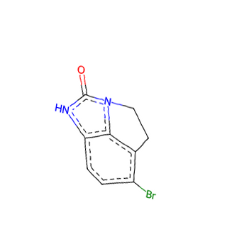 O=c1[nH]c2ccc(Br)c3c2n1CC3